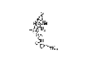 C[C@]12C=CC(=O)C=C1CC[C@H]1[C@@H]3C[C@@H](O)[C@](O)(C(=O)COC(=O)CNC(=O)c4cccc(CCO[N+](=O)[O-])c4)[C@@]3(C)C[C@H](O)[C@@]12F